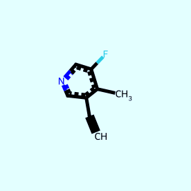 C#Cc1cncc(F)c1C